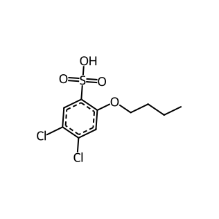 CCCCOc1cc(Cl)c(Cl)cc1S(=O)(=O)O